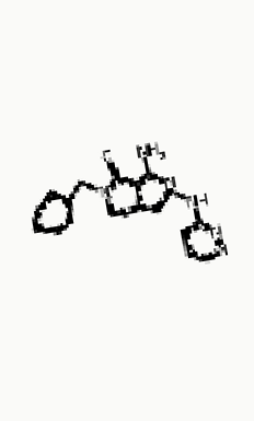 Nc1nc(Nc2cccnn2)cc2ccn(Cc3ccccc3)c(=O)c12